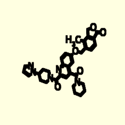 Cc1c(COc2ccc3nc(C(=O)N4CCC(n5cccn5)CC4)cc(C(=O)N4CCCCC4)c3c2)ccc2c1COC2=O